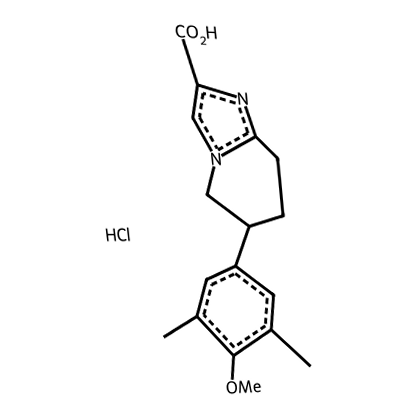 COc1c(C)cc(C2CCc3nc(C(=O)O)cn3C2)cc1C.Cl